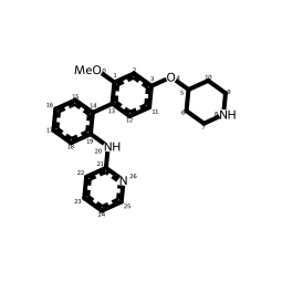 COc1cc(OC2CCNCC2)ccc1-c1ccccc1Nc1ccccn1